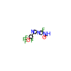 CC(=O)NC1CCN(c2ccnc(-c3ccc(OC(F)(F)F)c(F)c3)c2)C[C@@H]1F